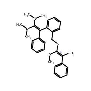 CS/C(SCc1ccccc1C(=C(N(C)C)N(C)C)c1ccccc1)=C(/C)c1ccccc1